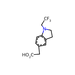 O=C(O)Cc1ccc2c(c1)CCN2CC(F)(F)F